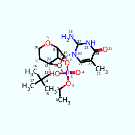 CCOP(=O)(O)OC1C2OCC[C@]1(CC(C)(C)C)O[C@H]2N1C=C(C)C(=O)NC1N